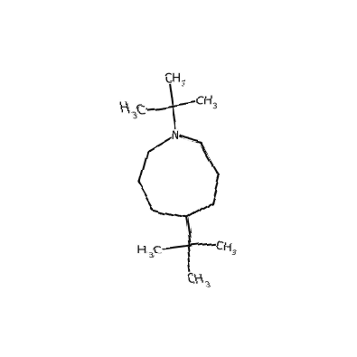 CC(C)(C)C1CCCN(C(C)(C)C)CCC1